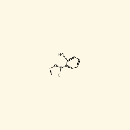 Oc1ccccc1B1OCCO1